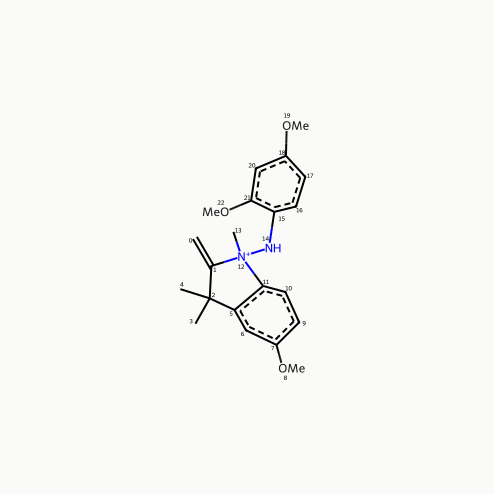 C=C1C(C)(C)c2cc(OC)ccc2[N+]1(C)Nc1ccc(OC)cc1OC